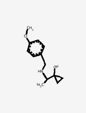 COc1ccc(CNC(C)C2(O)CC2)cc1